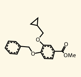 COC(=O)c1ccc(OCc2ccccc2)c(OCC2CC2)c1